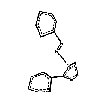 c1ccc(N=Nn2ccnc2-c2ccccc2)cc1